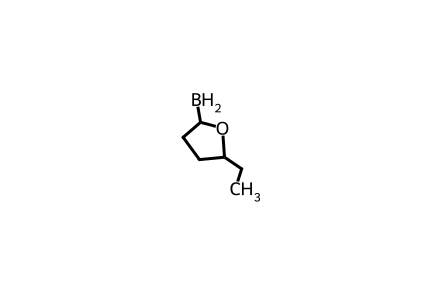 BC1CCC(CC)O1